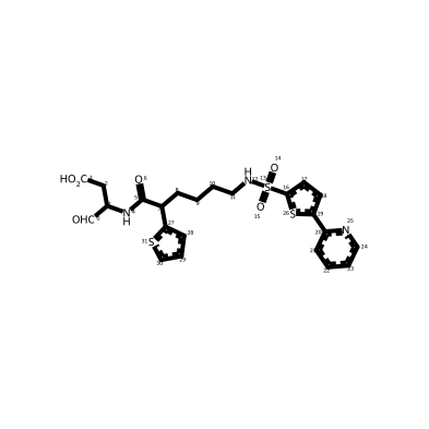 O=CC(CC(=O)O)NC(=O)C(CCCCNS(=O)(=O)c1ccc(-c2ccccn2)s1)c1cccs1